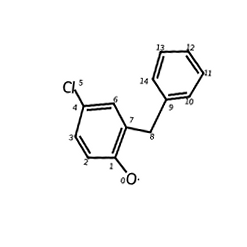 [O]c1ccc(Cl)cc1Cc1ccccc1